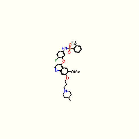 COc1cc2c(Oc3cc(NS(=O)(=O)c4ccccc4C(F)(F)F)ccc3F)ccnc2cc1OCCCN1CCC(C)CC1